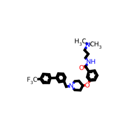 CN(C)CCCNC(=O)c1cccc(OC2CCN(Cc3cccc(-c4ccc(C(F)(F)F)cc4)c3)CC2)c1